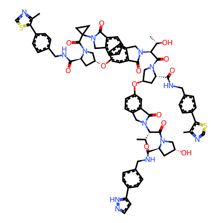 Cc1ncsc1-c1ccc(CNC(=O)[C@@H]2C[C@@H](Oc3ccc4c(c3)C(=O)N([C@H](C(=O)N3C[C@H](O)C[C@H]3C(=O)NCc3ccc(-c5ccn[nH]5)cc3)C(C)C)C4)CN2C(=O)[C@H]([C@H](C)O)N2Cc3ccc(O[C@@H]4C[C@@H](C(=O)NCc5ccc(-c6scnc6C)cc5)N(C(=O)C5(N6Cc7ccccc7C6=O)CC5)C4)cc3C2=O)cc1